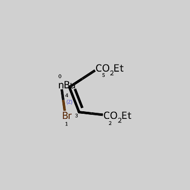 CCCCBr.CCOC(=O)/C=C\C(=O)OCC